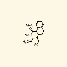 C=CCN(CC(C)=O)C1CCc2cccc(OC)c2C1C(=O)OC